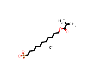 C=C(C)C(=O)OCCCCCCCCCCCS(=O)(=O)[O-].[K+]